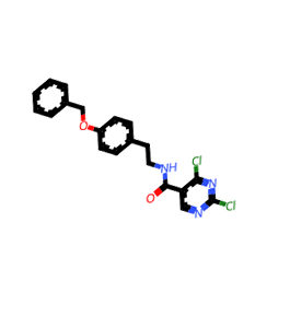 O=C(NCCc1ccc(OCc2ccccc2)cc1)c1cnc(Cl)nc1Cl